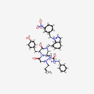 C=CCN1CC(=O)N2[C@@H](Cc3ccc(O)cc3)C(=O)N(Cc3cccc4cnn(Cc5cccc([N+](=O)[O-])c5)c34)C[C@@H]2N1C(=O)NCc1ccccc1